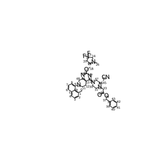 Cc1cccc2cccc(N3CCc4c(nc(OC[C@@H]5CC(F)(F)CN5C)nc4N4CCN(CC(=O)OCc5ccccc5)[C@@H](CC#N)C4)C3)c12